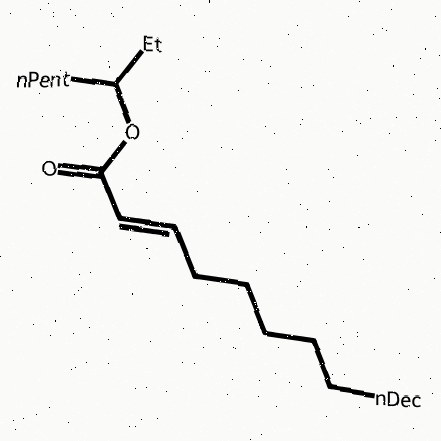 CCCCCCCCCCCCCCCC=CC(=O)OC(CC)CCCCC